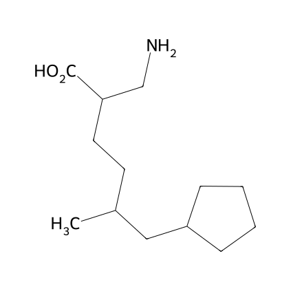 CC(CCC(CN)C(=O)O)CC1CCCC1